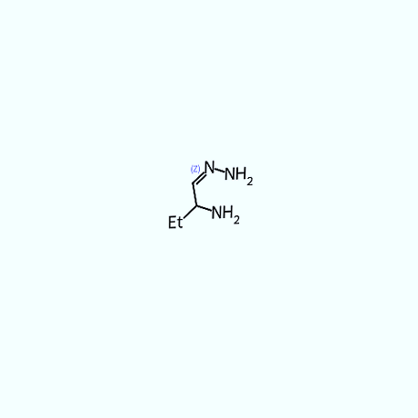 CCC(N)/C=N\N